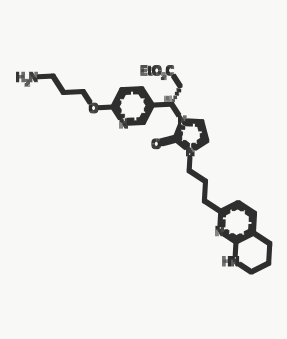 CCOC(=O)C[C@@H](c1ccc(OCCCN)nc1)n1ccn(CCCc2ccc3c(n2)NCCC3)c1=O